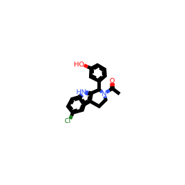 CC(=O)N1CCc2c([nH]c3ccc(Cl)cc23)C1c1cccc(O)c1